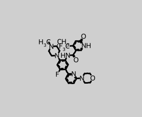 C[C@@H]1CN(c2cc(F)c(-c3cccc(N4CCOCC4)n3)cc2NC(=O)c2c[nH]c(=O)cc2C(F)(F)F)CCN1C